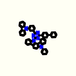 c1ccc(-c2ccc(-c3nc(-c4cccc(-n5c6ccccc6c6ccccc65)c4)nc(-n4c5ccccc5c5ccc6c(c7ccccc7n6-c6ccccc6)c54)n3)cc2)cc1